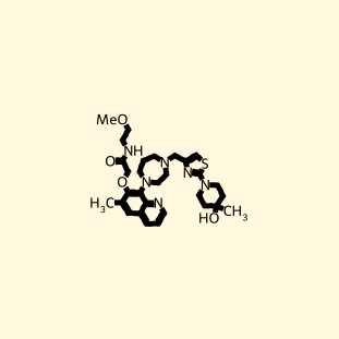 COCCNC(=O)COc1c(C)cc2cccnc2c1N1CCCN(Cc2csc(N3CCC(C)(O)CC3)n2)CC1